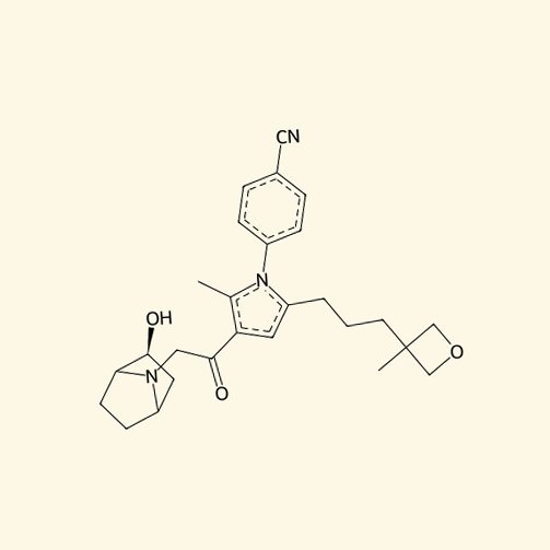 Cc1c(C(=O)CN2C3CCC2[C@@H](O)C3)cc(CCCC2(C)COC2)n1-c1ccc(C#N)cc1